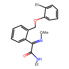 CCNC(=O)/C(=N/OC)c1ccccc1COc1ccccc1CC